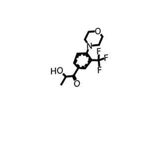 CC(O)C(=O)c1ccc(N2CCOCC2)c(C(F)(F)F)c1